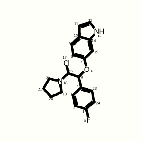 Fc1ccc(C(Oc2ccc3cc[nH]c3c2)C(Cl)N2CCCC2)cc1